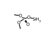 COP(=O)(OC)O[SiH3]